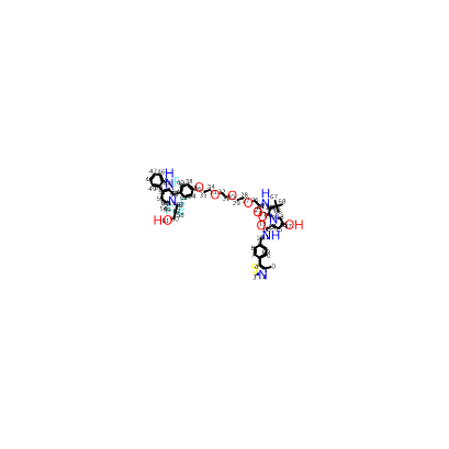 Cc1ncsc1-c1ccc(CNC(=O)[C@@H]2C[C@@H](O)CN2C(=O)[C@@H](NC(=O)COCCOCCOCCOc2cc(F)c([C@@H]3c4[nH]c5ccccc5c4C[C@@H](C)N3CC(F)(F)CO)c(F)c2)C(C)(C)C)cc1